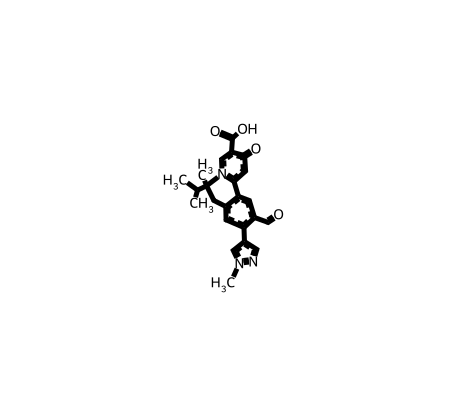 CC(C)C1(C)Cc2cc(-c3cnn(C)c3)c(C=O)cc2-c2cc(=O)c(C(=O)O)cn21